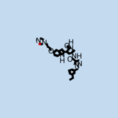 CCc1cccc(Cn2cc(C(=O)Nc3c[nH]c(=O)c(-c4cc5cc(OCCCN6CCN(C)CC6)ccc5[nH]4)c3)cn2)c1